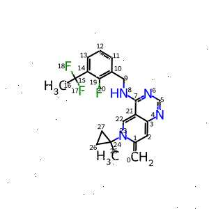 C=C1C=c2ncnc(NCc3cccc(C(C)(F)F)c3F)c2=CN1C1(C)CC1